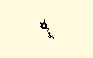 CCSSc1ccc(F)c(F)c1